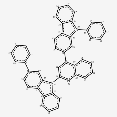 c1ccc(-c2ccc3c4ccccc4n(-c4cc(-c5ccc6c7ccccc7n(-c7ccccc7)c6c5)c5ccccc5n4)c3c2)cc1